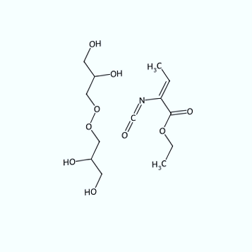 CC=C(N=C=O)C(=O)OCC.OCC(O)COOCC(O)CO